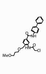 COCCCOCc1ccc(C(=O)Nc2ccc(-c3ccccc3)cc2)cc1NC(=O)CCl